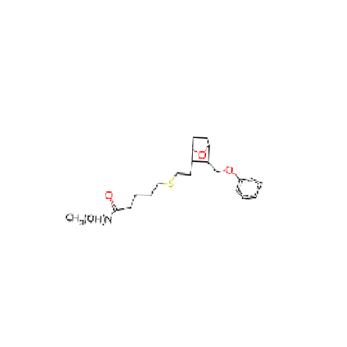 CN(O)C(=O)CCCCSCCC1C2CCC(O2)C1COc1ccccc1